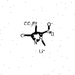 CCOC(=O)c1c(Cl)nn(C)c1S(=O)[O-].[Li+]